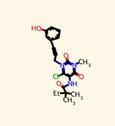 CCC(C)(C)C(=O)Nc1c(Cl)n(CC#Cc2cccc(O)c2)c(=O)n(C)c1=O